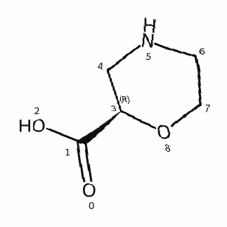 O=C(O)[C@H]1CNCCO1